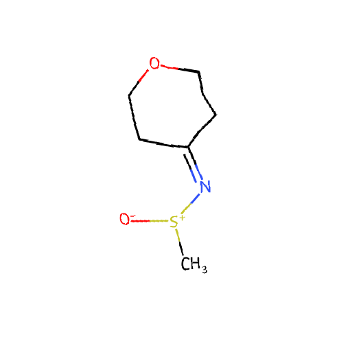 C[S+]([O-])N=C1CCOCC1